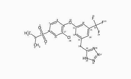 CC(C)S(=O)(=O)c1ccc(Oc2cc(Cc3nnn[nH]3)cc(C(F)(F)F)c2)c(Cl)c1